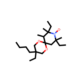 CCCCC1(CC)COC2(CC(C)(CC)N([O])C(C)(CC)C2C)OC1